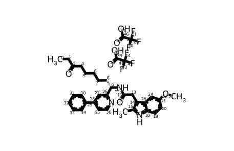 CCC(=O)CCCCC[C@H](NC(=O)Cc1c(C)[nH]c2ccc(OC)cc12)c1cc(-c2ccccc2)ccn1.O=C(O)C(F)(F)F.O=C(O)C(F)(F)F